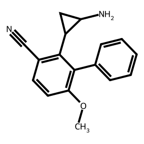 COc1ccc(C#N)c(C2CC2N)c1-c1ccccc1